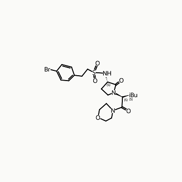 CC[C@H](C)[C@@H](C(=O)N1CCOCC1)N1CC[C@H](NS(=O)(=O)CCc2ccc(Br)cc2)C1=O